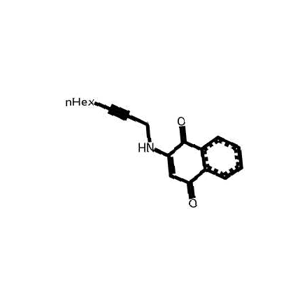 CCCCCCC#CCNC1=CC(=O)c2ccccc2C1=O